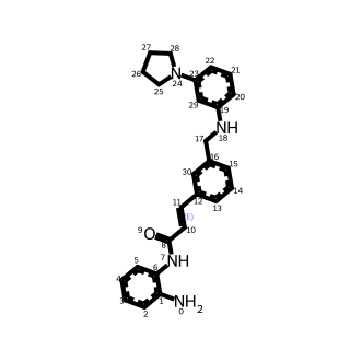 Nc1ccccc1NC(=O)/C=C/c1cccc(CNc2cccc(N3CCCC3)c2)c1